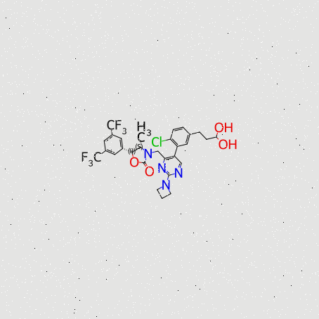 C[C@H]1[C@@H](c2cc(C(F)(F)F)cc(C(F)(F)F)c2)OC(=O)N1Cc1nc(N2CCC2)ncc1-c1cc(CCC(O)O)ccc1Cl